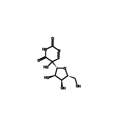 O=C1N=CC(O)([C@@H]2O[C@H](CO)[C@@H](O)[C@H]2O)C(=O)N1